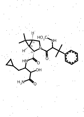 CC(C)(c1ccccc1)C(NC(=O)O)C(=O)N1C[C@H]2[C@@H]([C@H]1C(=O)NC(CC1CC1)C(O)C(N)=O)C2(C)C